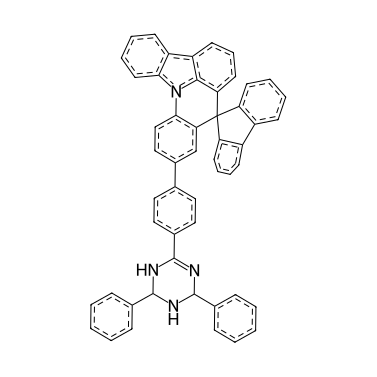 c1ccc(C2N=C(c3ccc(-c4ccc5c(c4)C4(c6ccccc6-c6ccccc64)c4cccc6c7ccccc7n-5c46)cc3)NC(c3ccccc3)N2)cc1